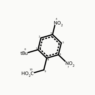 CC(C)(C)c1cc([N+](=O)[O-])cc([N+](=O)[O-])c1CC(=O)O